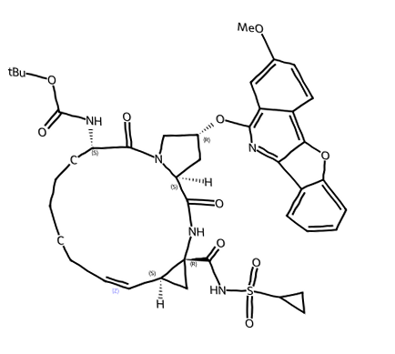 COc1ccc2c(c1)c(O[C@@H]1C[C@H]3C(=O)N[C@]4(C(=O)NS(=O)(=O)C5CC5)C[C@H]4/C=C\CCCCC[C@H](NC(=O)OC(C)(C)C)C(=O)N3C1)nc1c3ccccc3oc21